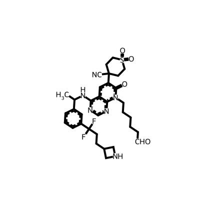 CC(Nc1ncnc2c1cc(C1(C#N)CCS(=O)(=O)CC1)c(=O)n2CCCCCC=O)c1cccc(C(F)(F)CCC2CNC2)c1